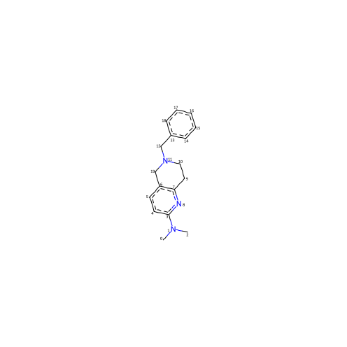 CN(C)c1ccc2c(n1)CCN(Cc1ccccc1)C2